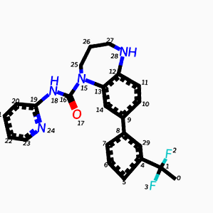 CC(F)(F)c1cccc(-c2ccc3c(c2)N(C(=O)Nc2ccccn2)CCCN3)c1